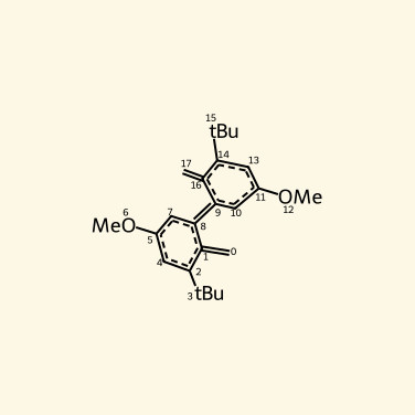 C=c1c(C(C)(C)C)cc(OC)cc1=c1cc(OC)cc(C(C)(C)C)c1=C